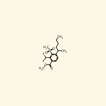 CCCCC(C)c1ccc(C(=O)OC)c(C(F)F)c1S(C)(=O)=O